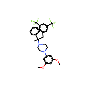 [CH2]C(Cc1cc(C(F)(F)F)cc(C(F)(F)F)c1)(c1ccccc1)N1CCN(c2cc(OC)cc(OC)c2)CC1